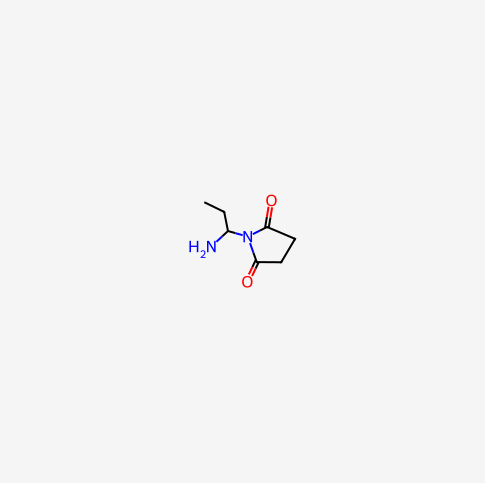 CCC(N)N1C(=O)CCC1=O